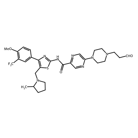 COc1ccc(-c2nc(NC(=O)c3cnc(N4CCN(CCC=O)CC4)cn3)sc2CN2CCCC2C)cc1C(F)(F)F